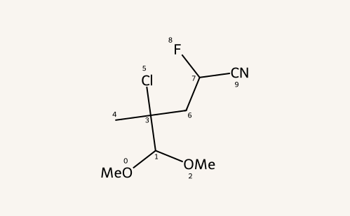 COC(OC)C(C)(Cl)CC(F)C#N